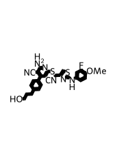 COc1ccc(Nc2nc(CSc3nc(N)c(C#N)c(-c4ccc(CCCO)cc4)c3C#N)cs2)cc1F